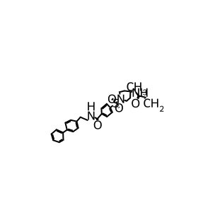 C=CC(=O)NC1(C)CCN(S(=O)(=O)c2ccc(C(=O)NCCc3ccc(-c4ccccc4)cc3)cc2)CC1